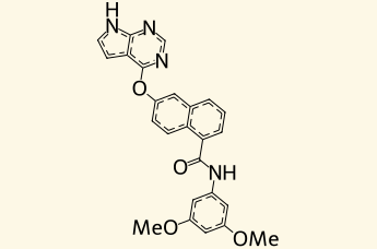 COc1cc(NC(=O)c2cccc3cc(Oc4ncnc5[nH]ccc45)ccc23)cc(OC)c1